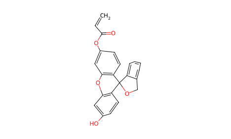 C=CC(=O)Oc1ccc2c(c1)Oc1cc(O)ccc1C21OCc2ccccc21